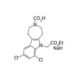 CCOC(=O)Cn1c2c(c3cc(Cl)cc(Cl)c31)CCN(C(=O)O)CC2.[NaH]